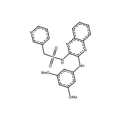 COc1cc(Nc2nc3ccccc3nc2NS(=O)(=O)Cc2cccnc2)cc(OC)c1